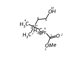 CCCC(=O)OC.C[N+](C)(C)CCO